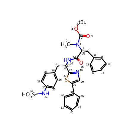 CN(C(=O)OC(C)(C)C)[C@@H](Cc1ccccc1)C(=O)N[C@@H](Cc1ccc(NS(=O)(=O)O)cc1)c1ncc(-c2ccccc2)s1